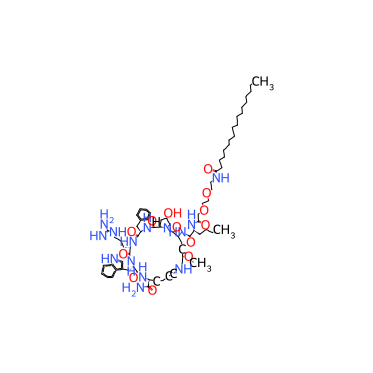 CCCCCCCCCCCCCCCCCC(=O)NCCOCCOCC(=O)N[C@@H](CCCC)C(=O)N[C@H]1CCC(OC)CNCCCC[C@@H](C(N)=O)NC(=O)[C@H](Cc2c[nH]c3ccccc23)NC(=O)[C@H](CCCNC(=N)N)NC(=O)[C@@H](Cc2ccccc2)NC(=O)[C@@H]2C[C@@H](O)CN2C1=O